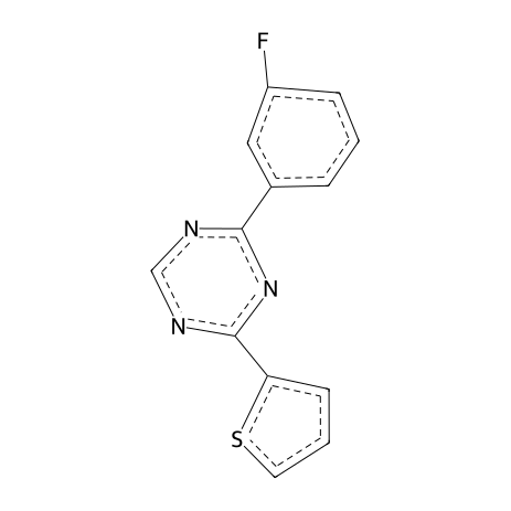 Fc1cccc(-c2ncnc(-c3cccs3)n2)c1